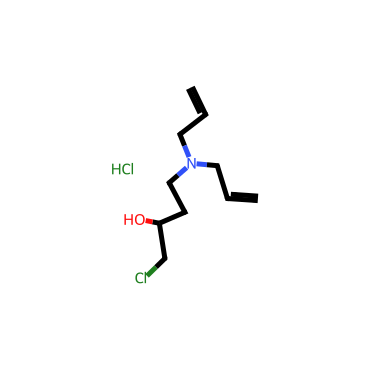 C=CCN(CC=C)CCC(O)CCl.Cl